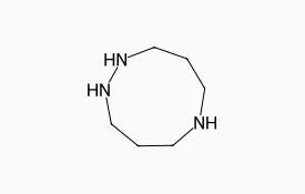 C1CNCCCNNC1